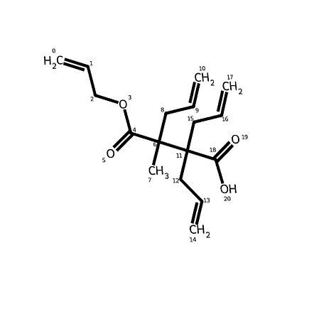 C=CCOC(=O)C(C)(CC=C)C(CC=C)(CC=C)C(=O)O